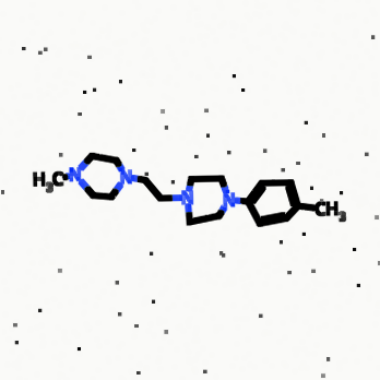 Cc1ccc(N2CCN(CCN3CCN(C)CC3)CC2)cc1